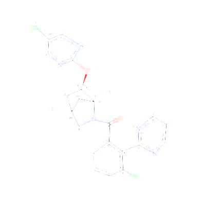 O=C(c1cccc(F)c1-c1ncccn1)N1C[C@H]2C[C@@H](Oc3ncc(Cl)cn3)[C@@H]1C2